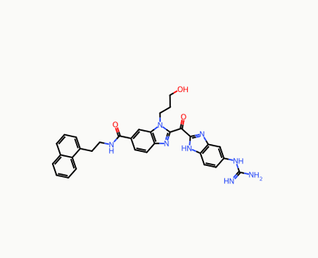 N=C(N)Nc1ccc2[nH]c(C(=O)c3nc4ccc(C(=O)NCCc5cccc6ccccc56)cc4n3CCCO)nc2c1